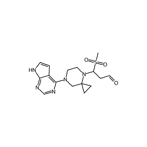 CS(=O)(=O)C(CC=O)N1CCN(c2ncnc3[nH]ccc23)CC12CC2